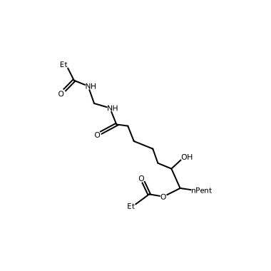 CCCCCC(OC(=O)CC)C(O)CCCCC(=O)NCNC(=O)CC